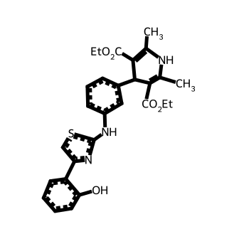 CCOC(=O)C1=C(C)NC(C)=C(C(=O)OCC)C1c1cccc(Nc2nc(-c3ccccc3O)cs2)c1